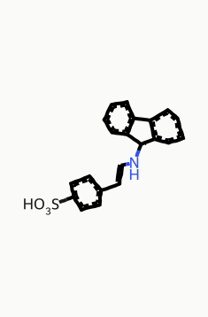 O=S(=O)(O)c1ccc(C=CN[C]2c3ccccc3-c3ccccc32)cc1